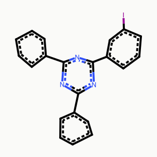 Ic1cccc(-c2nc(-c3ccccc3)nc(-c3ccccc3)n2)c1